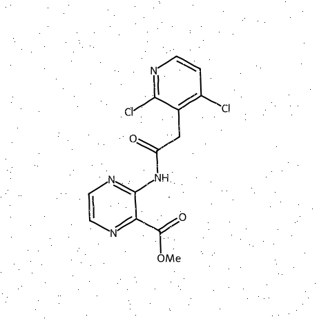 COC(=O)c1nccnc1NC(=O)Cc1c(Cl)ccnc1Cl